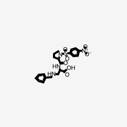 O=C(O)C(CNCc1ccccc1)NC(=O)C1CCCN1S(=O)(=O)c1ccc([N+](=O)[O-])cc1